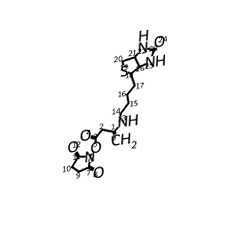 C=C(CC(=O)ON1C(=O)CCC1=O)NCCCCC1SCC2NC(=O)NC21